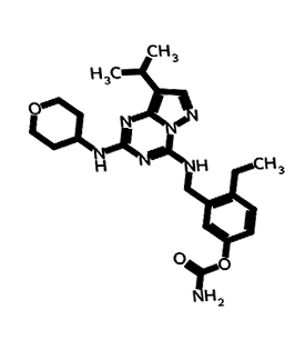 CCc1ccc(OC(N)=O)cc1CNc1nc(NC2CCOCC2)nc2c(C(C)C)cnn12